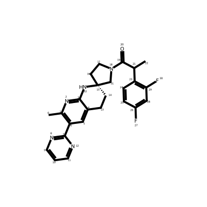 Cc1nc2c(cc1-c1ncccn1)CC[C@@]1(CCN(C(=O)C(C)c3ccc(F)cc3F)C1)N2